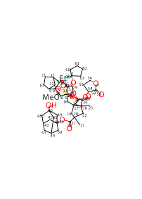 CCC1(OC(=O)C(C)(CC2C3CCC(C3)C2C)CC(C)(CC(C)(CC(C)(C)C(=O)OCC(F)(F)S(=O)(=O)OC)C(=O)OC23CC4CC(CC(O)(C4)C2)C3)C(=O)OC2CCOC2=O)CCCC1